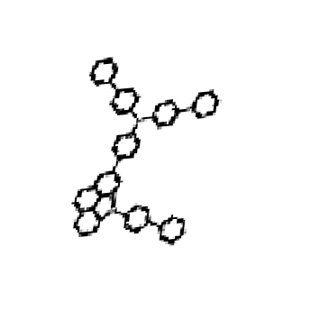 c1ccc(-c2ccc(N(c3ccc(-c4ccccc4)cc3)c3ccc(-c4cc5ccc6cccc7c6c5c(c4)n7-c4ccc(-c5ccccc5)cc4)cc3)cc2)cc1